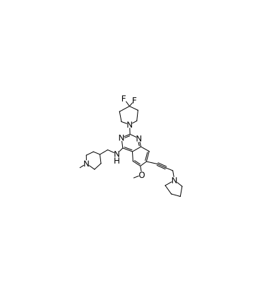 COc1cc2c(NCC3CCN(C)CC3)nc(N3CCC(F)(F)CC3)nc2cc1C#CCN1CCCC1